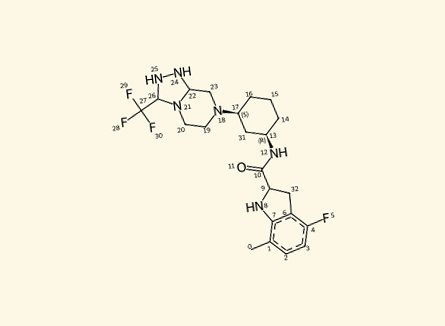 Cc1ccc(F)c2c1NC(C(=O)N[C@@H]1CCC[C@H](N3CCN4C(C3)NNC4C(F)(F)F)C1)C2